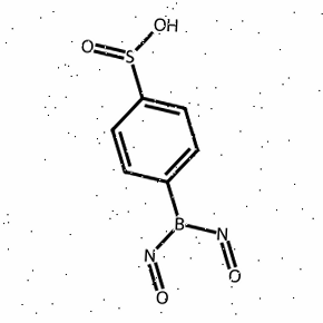 O=NB(N=O)c1ccc(S(=O)O)cc1